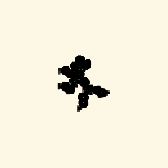 Fc1ccc2cc(-c3nc(-c4ccc(-c5ccc6c(c5)OC(c5ccccc5)(c5ccccc5)c5ccccc5-6)c(-c5nc(-c6ccc7ccc(F)cc7c6)nc(-c6cccc7cc(F)ccc67)n5)c4)nc(-c4ccc5cc(F)ccc5c4)n3)ccc2c1